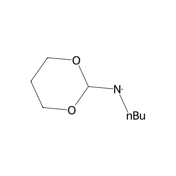 CCCC[N]C1OCCCO1